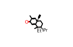 C#C[C@]12C=C(C)C(=O)C=C1[C@@](C)(CC)[C@H](C(C)C)CC2